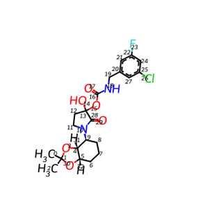 CC1(C)O[C@H]2[C@H](CCC[C@@H]2N2CCC(O)(OC(=O)NCc3cc(F)cc(Cl)c3)C2=O)O1